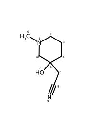 CN1CCCC(O)(CC#N)C1